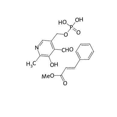 COC(=O)C=Cc1ccccc1.Cc1ncc(COP(=O)(O)O)c(C=O)c1O